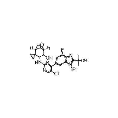 CC(C)n1c(C(C)(C)O)nc2c(F)cc(-c3nc(N[C@H]4[C@H](O)[C@@H]5OC[C@@H](O5)C45CC5)ncc3Cl)cc21